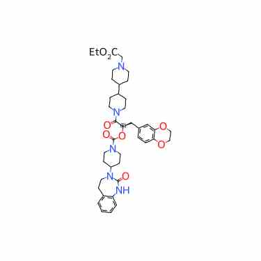 CCOC(=O)CN1CCC(C2CCN(C(=O)[C@@H](Cc3ccc4c(c3)OCCO4)OC(=O)N3CCC(N4CCc5ccccc5NC4=O)CC3)CC2)CC1